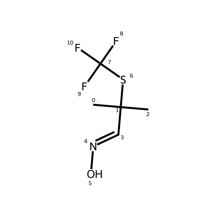 CC(C)(/C=N/O)SC(F)(F)F